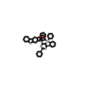 c1ccc(-c2nc3c(c(-n4c5ccccc5c5cc6c(cc54)sc4ccccc46)n2)[Si](c2ccccc2)(c2ccccc2)c2ccccc2-3)cc1